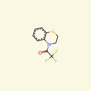 O=C(N1CCSc2ccccc21)C(F)(F)F